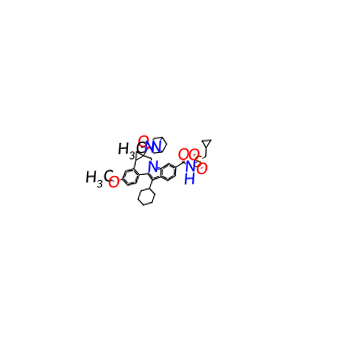 COc1ccc2c(c1)C1CC1(C(=O)N1C3CC1CN(C)C3)Cn1c-2c(C2CCCCC2)c2ccc(C(=O)NS(=O)(=O)CC3CC3)cc21